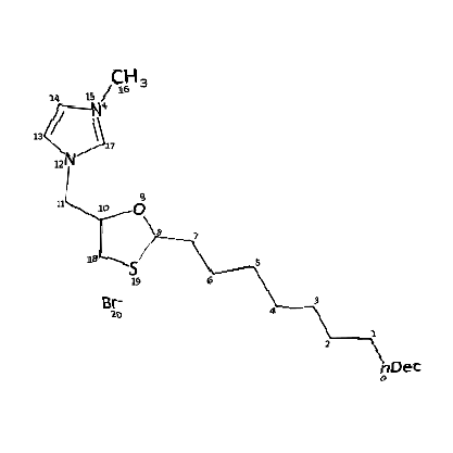 CCCCCCCCCCCCCCCCCC1OC(Cn2cc[n+](C)c2)CS1.[Br-]